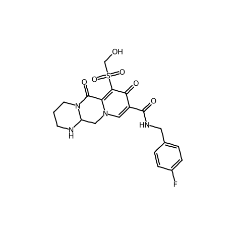 O=C(NCc1ccc(F)cc1)c1cn2c(c(S(=O)(=O)CO)c1=O)C(=O)N1CCCNC1C2